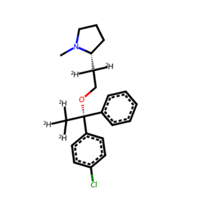 [2H]C([2H])(CO[C@](c1ccccc1)(c1ccc(Cl)cc1)C([2H])([2H])[2H])[C@H]1CCCN1C